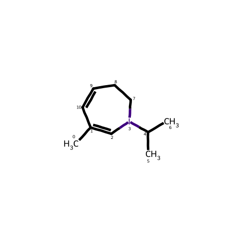 CC1=CI(C(C)C)CCC=C1